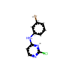 Clc1nccc(Nc2cccc(Br)c2)n1